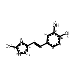 CCc1noc(C=Cc2ccc(O)c(O)c2)n1